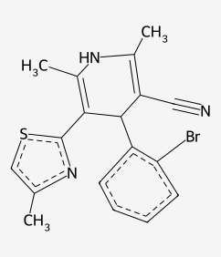 CC1=C(C#N)C(c2ccccc2Br)C(c2nc(C)cs2)=C(C)N1